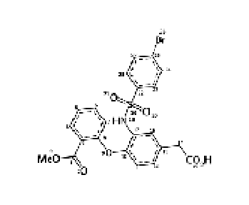 COC(=O)c1ccccc1Oc1ccc(CC(=O)O)cc1NS(=O)(=O)c1ccc(Br)cc1